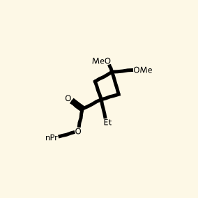 CCCOC(=O)C1(CC)CC(OC)(OC)C1